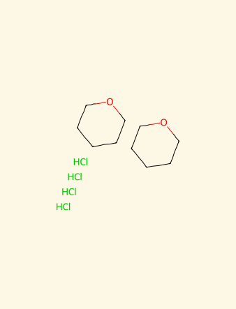 C1CCOCC1.C1CCOCC1.Cl.Cl.Cl.Cl